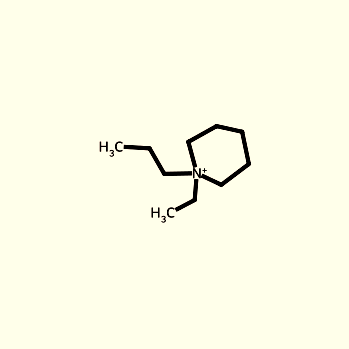 CCC[N+]1(CC)CCCCC1